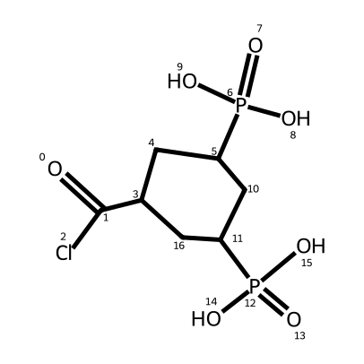 O=C(Cl)C1CC(P(=O)(O)O)CC(P(=O)(O)O)C1